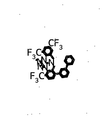 Cn1nnc(N(Cc2cc(C(F)(F)F)cc(C(F)(F)F)c2)Cc2cc(C(F)(F)F)ccc2-c2cccc(-c3ccccc3)c2)n1